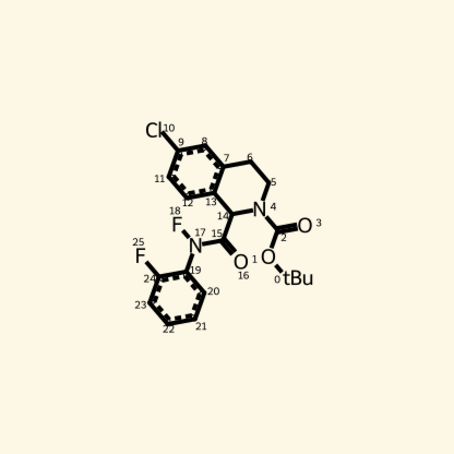 CC(C)(C)OC(=O)N1CCc2cc(Cl)ccc2C1C(=O)N(F)c1ccccc1F